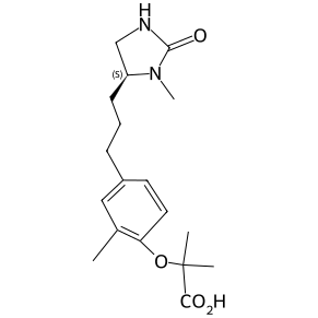 Cc1cc(CCC[C@H]2CNC(=O)N2C)ccc1OC(C)(C)C(=O)O